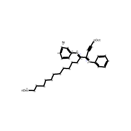 CCCCCCCCC#CC(=N\c1ccccc1)/C(CCCCCCCCCCCCCCCCCCCCC)=N/c1ccccc1.[Ni]